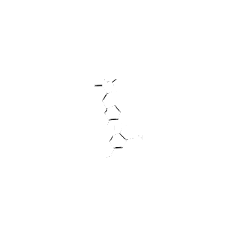 N#Cc1cc(CF)ccc1Oc1ccc(/C=C2\SC(=O)NC2=O)cc1O